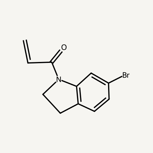 C=CC(=O)N1CCc2ccc(Br)cc21